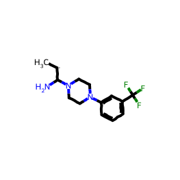 C[CH]C(N)N1CCN(c2cccc(C(F)(F)F)c2)CC1